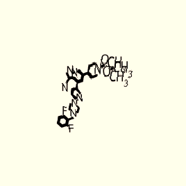 CC(C)(C)OC(=O)N1CC=C(c2cc(-c3ccc(N4CCN(Cc5c(F)cccc5F)CC4)nc3)c3c(C#N)cnn3c2)CC1